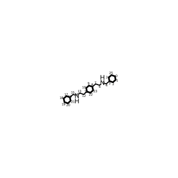 c1ccc(CNCCc2ccc(CCNCc3ccccc3)cc2)cc1